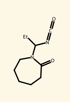 [CH2]CC(N=C=O)N1CCCCCC1=O